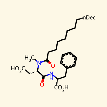 CCCCCCCCCCCCCCCCCC(=O)N(C)[C@@H](CC(=O)O)C(=O)N[C@@H](Cc1ccccc1)C(=O)O